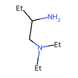 CCC(N)CN(CC)CC